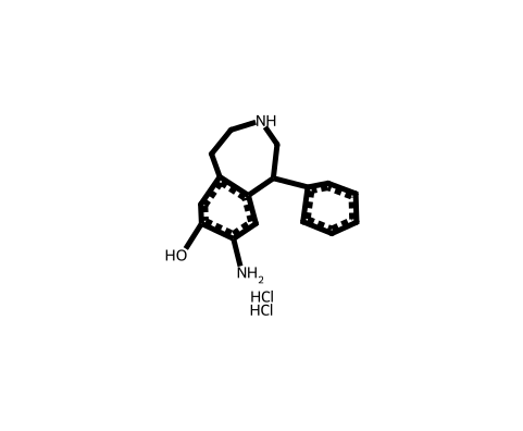 Cl.Cl.Nc1cc2c(cc1O)CCNCC2c1ccccc1